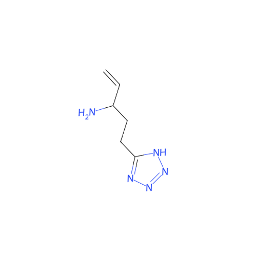 C=CC(N)CCc1nnn[nH]1